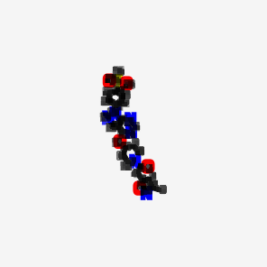 Cc1cc(CC(=O)N2CCC(Oc3ncnc4c3cnn4-c3ccc(S(C)(=O)=O)cc3)CC2)on1